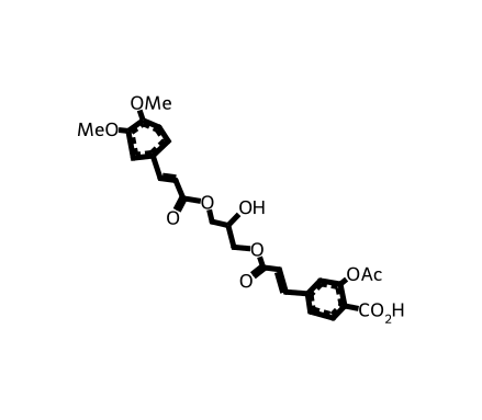 COc1ccc(/C=C/C(=O)OCC(O)COC(=O)/C=C/c2ccc(C(=O)O)c(OC(C)=O)c2)cc1OC